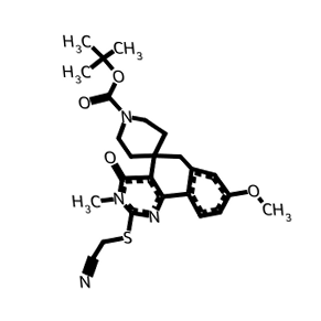 COc1ccc2c(c1)CC1(CCN(C(=O)OC(C)(C)C)CC1)c1c-2nc(SCC#N)n(C)c1=O